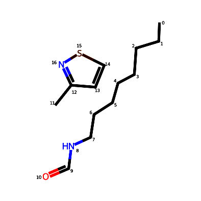 CCCCCCCCNC=O.Cc1ccsn1